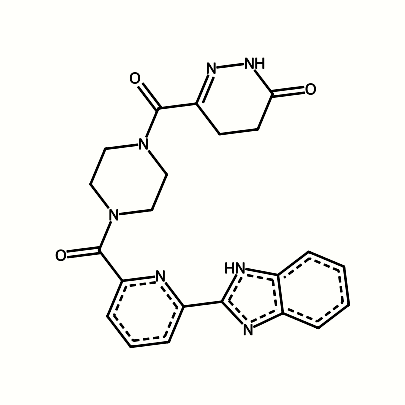 O=C1CCC(C(=O)N2CCN(C(=O)c3cccc(-c4nc5ccccc5[nH]4)n3)CC2)=NN1